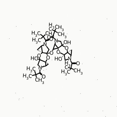 CC(C)(C)C(=O)N1C[C@]2(O)O[C@@]34CC3N(C(=O)C(C)(C)C)C[C@@]4(O)O[C@]23C(O[C@]24CN(C(=O)C(C)(C)C)C5C[C@]52O[C@@]2(O)CN(C(=O)C(C)(C)C)C5C[C@]52O4)C13